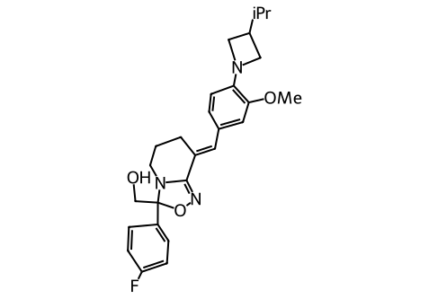 COc1cc(/C=C2\CCCN3C2=NOC3(CO)c2ccc(F)cc2)ccc1N1CC(C(C)C)C1